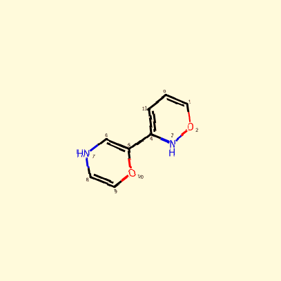 C1=CONC(C2=CNC=CO2)=C1